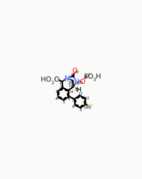 O=C(O)C1c2cccc(-c3ccc(F)cc3)c2[C@H]2CN1C(=O)N2OS(=O)(=O)O